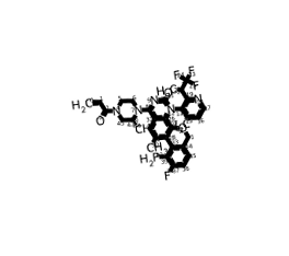 C=CC(=O)N1CCN(c2nc(=O)n(-c3c(C)ccnc3C(C)C(F)(F)F)c3c4c(c(C)cc23)-c2c(ccc(F)c2P)CO4)[C@@H](C)C1